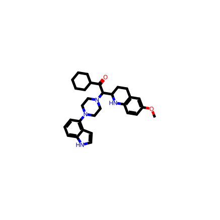 COc1ccc2c(c1)CCC(C(C(=O)C1CCCCC1)N1CCN(c3cccc4[nH]ccc34)CC1)N2